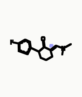 CN(C)/C=C1\CCCC(c2ccc(F)cc2)C1=O